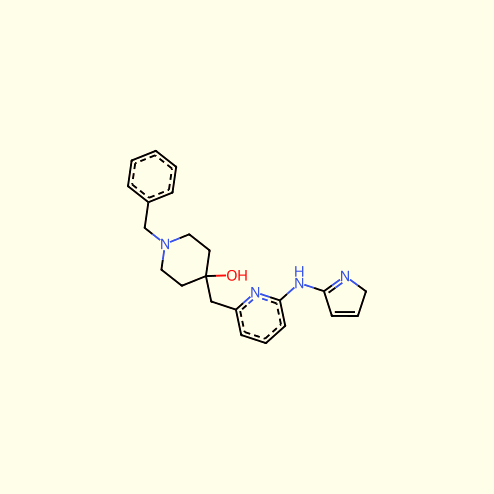 OC1(Cc2cccc(NC3=NCC=C3)n2)CCN(Cc2ccccc2)CC1